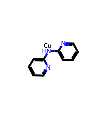 [Cu].c1ccc(Nc2ccccn2)nc1